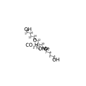 COCC(=O)O.OCCCCOCCCCOCCCCO